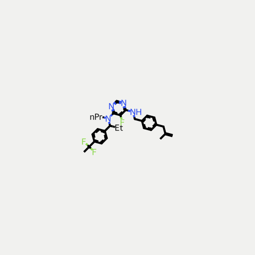 C=C(C)Cc1ccc(CNc2ncnc(N(CCC)C(CC)c3ccc(C(C)(F)F)cc3)c2F)cc1